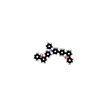 c1ccc(N(c2ccc(-c3ccc(-c4cccc5c4oc4ccccc45)cc3)cc2)c2ccc(-c3cccc4c3oc3ccccc34)cc2)cc1